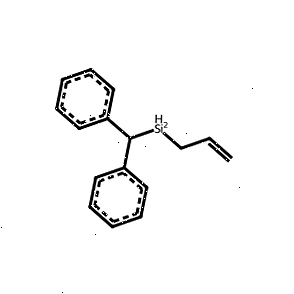 C=CC[SiH2]C(c1ccccc1)c1ccccc1